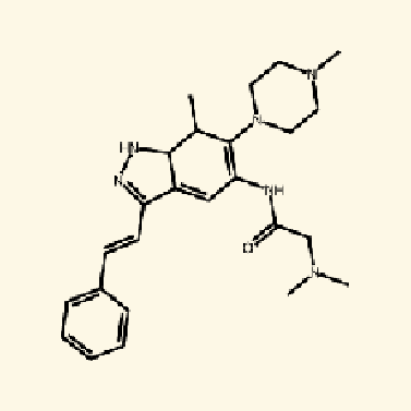 CC1C(N2CCN(C)CC2)=C(NC(=O)CN(C)C)C=C2C(/C=C/c3ccccc3)=NNC21